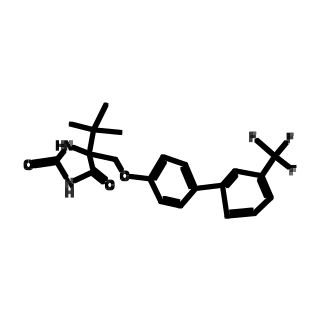 CC(C)(C)C1(COc2ccc(-c3cccc(C(F)(F)F)c3)cc2)NC(=O)NC1=O